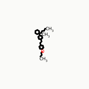 CCCCCC1(c2ccc(CCc3ccc(OCCCC)cc3)cc2C)CCCCC1